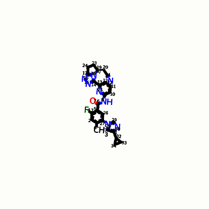 Cc1cc(F)c(C(=O)Nc2cccc(-c3nnc4n3[C@H](CC#N)CC4)n2)cc1-n1cnc(C2CC2)c1